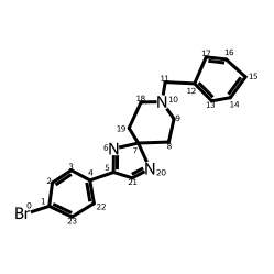 Brc1ccc(C2=NC3(CCN(Cc4ccccc4)CC3)N=C2)cc1